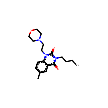 Cc1ccc2c(c1)c(=O)n(CCCC(C)C)c(=O)n2CCN1CCOCC1